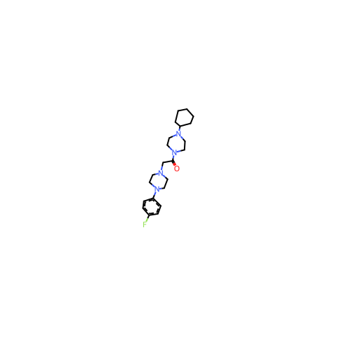 O=C(CN1CCN(c2ccc(F)cc2)CC1)N1CCN(C2CCCCC2)CC1